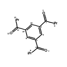 CC(C)C(=O)c1cc(C(=O)C(C)C)cc(C(=O)C(C)C)c1